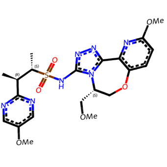 COC[C@H]1COc2ccc(OC)nc2-c2nnc(NS(=O)(=O)[C@@H](C)[C@H](C)c3ncc(OC)cn3)n21